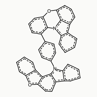 c1cc2c(c(-c3ccc(-n4c5ccccc5c5ccc6oc7ccccc7c6c54)cc3)c1)-n1c3ccccc3c3cccc(c31)O2